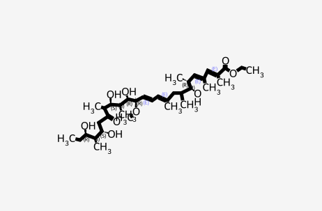 CCOC(=O)/C(C)=C/C(C)=C/[C@@H](C)[C@H](O)C(C)C/C(C)=C/C=C/[C@@H](OC)[C@H](O)[C@@H](C)[C@H](O)C(C)C(=O)C[C@H](O)[C@@H](C)[C@H](O)CC